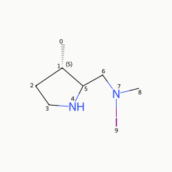 C[C@H]1CCNC1CN(C)I